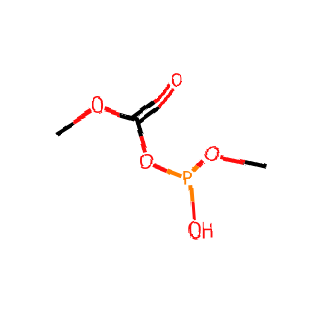 COC(=O)OP(O)OC